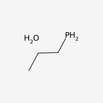 CCCP.O